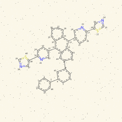 c1ccc(-c2cccc(-c3ccc4c(-c5ccc(-c6cncs6)nc5)c5ccccc5c(-c5ccc(-c6cncs6)nc5)c4c3)c2)cc1